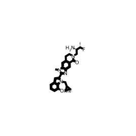 COc1cccc2cc(-c3nc4cc5c(cc4n3C)CCN(C[C@H](N)[C@H](C)F)C5=O)n(CC3CC3)c12